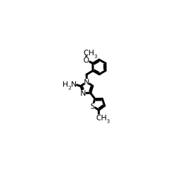 COc1ccccc1Cn1cc(-c2ccc(C)s2)nc1N